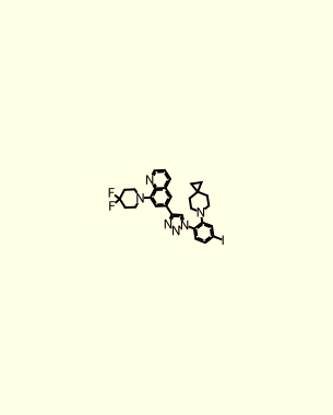 FC1(F)CCN(c2cc(-c3cn(-c4ccc(I)cc4N4CCC5(CC4)CC5)nn3)cc3cccnc23)CC1